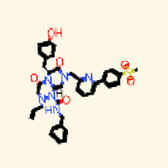 C=CCN1CC(=O)N2[C@@H](Cc3ccc(O)cc3)C(=O)N(Cc3cccc(-c4ccc(S(C)(=O)=O)cc4)n3)C[C@@H]2N1C(=O)NCc1ccccc1